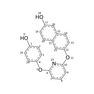 Oc1ccc(Oc2cccc(Oc3ccc4cc(O)ccc4c3)n2)cc1